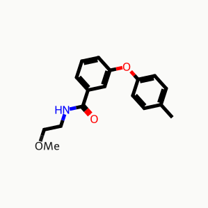 COCCNC(=O)c1cccc(Oc2ccc(C)cc2)c1